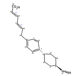 CCCCCCC[C@H]1CC[C@H](c2ccc(C/C=C/C=C/C(=O)O)cc2)CC1